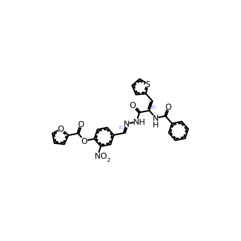 O=C(N/N=C/c1ccc(OC(=O)c2ccco2)c([N+](=O)[O-])c1)/C(=C\c1cccs1)NC(=O)c1ccccc1